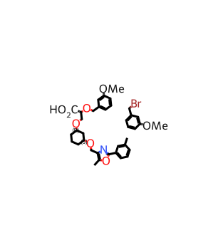 COc1cccc(CBr)c1.COc1cccc(COC(CO[C@@H]2CCC[C@H](OCc3nc(-c4cccc(C)c4)oc3C)C2)C(=O)O)c1